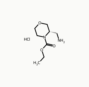 CCOC(=O)N1CCOC[C@@H]1CN.Cl